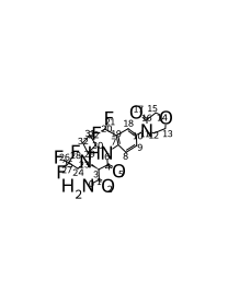 NC(=O)[C@H](C(=O)Nc1ccc(N2CCOCC2=O)cc1C(F)F)N(CC(F)(F)F)C1CCC1